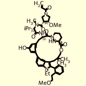 C=CC(=O)N1C[C@H](OC)[C@H](C(=O)N(C)[C@H](C(=O)N[C@H]2Cc3cc(O)cc(c3)-c3ccc4c(c3)c(c(-c3ccccc3CCOC)n4CC)CC(C)(C)COC(=O)[C@@H]3CCCN(N3)C2=O)C(C)C)C1